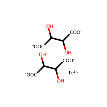 O=C([O-])C(O)C(O)C(=O)[O-].O=C([O-])C(O)C(O)C(=O)[O-].[Tc+4]